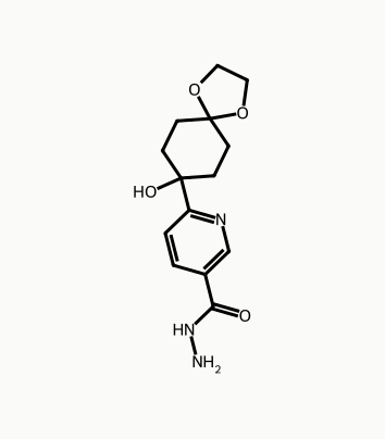 NNC(=O)c1ccc(C2(O)CCC3(CC2)OCCO3)nc1